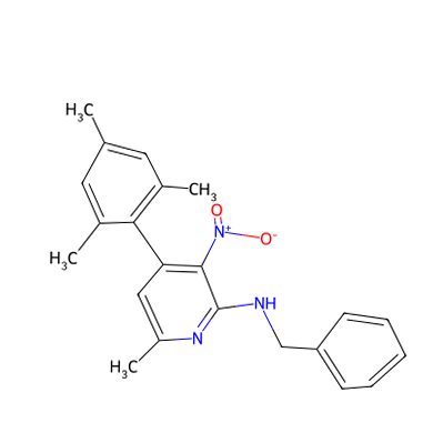 Cc1cc(C)c(-c2cc(C)nc(NCc3ccccc3)c2[N+](=O)[O-])c(C)c1